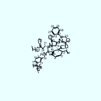 C=CC1C=CC=CC1(Cl)[C@H]1[C@H](N2C(=O)OC[C@@H]2c2ccccc2)C(=O)N1[C@@H](CCC(=O)O)C(=O)NCc1cccc(C(F)(F)F)c1